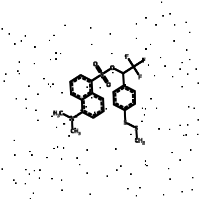 CSSc1ccc(C(OS(=O)(=O)c2cccc3c(N(C)C)cccc23)C(F)(F)F)cc1